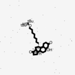 CC(C)(C)[SiH](OCCCCCCCC[C@H]1C[C@]2(C)C(=O)CC[C@H]2[C@@H]2CC[C@@]3(O)CC(=O)CCC3=C12)C(C)(C)C